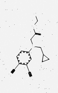 CCNC(=O)CN(CC1CC1)c1ccc(C#N)c(C#N)c1